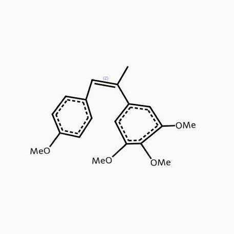 COc1ccc(/C=C(/C)c2cc(OC)c(OC)c(OC)c2)cc1